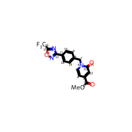 COC(=O)c1ccn(Cc2ccc(-c3noc(C(F)(F)F)n3)cc2)c(=O)c1